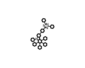 c1ccc(-c2nc(-c3ccccc3)nc(-c3ccc(-c4ccc5c(c4)c4c(-c6ccccc6)c(-c6ccccc6)c(-c6ccccc6)c(-c6ccccc6)c4n5-c4ccccc4)cc3)n2)cc1